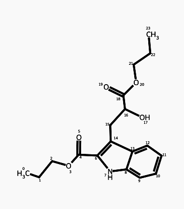 CCCOC(=O)c1[nH]c2ccccc2c1CC(O)C(=O)OCCC